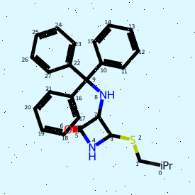 CC(C)CSC1NC(=O)C1NC(c1ccccc1)(c1ccccc1)c1ccccc1